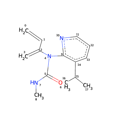 C=CC(=C)N(C(=O)NC)c1ncccc1C(C)C